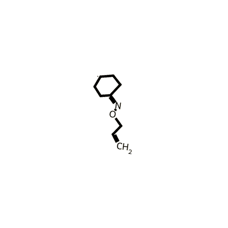 C=CCON=C1CC[CH]CC1